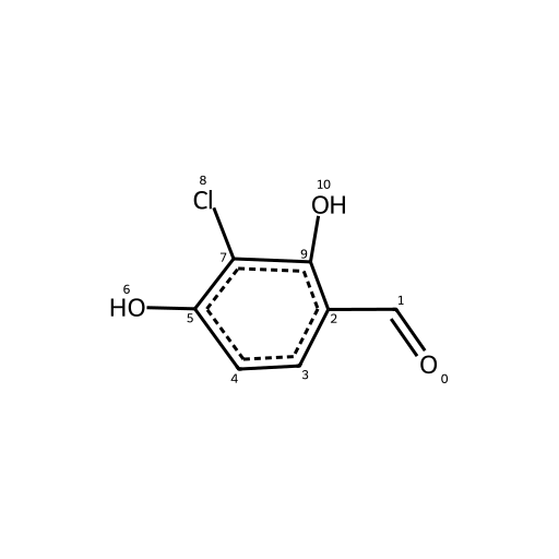 O=Cc1ccc(O)c(Cl)c1O